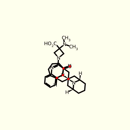 CN(C)C1(C(=O)O)CN(c2nc3ccccc3n([C@@H]3C[C@H]4CCC[C@@H](C3)N4[C@@H]3C[C@@H]4CCCC[C@@H](C4)C3)c2=O)C1